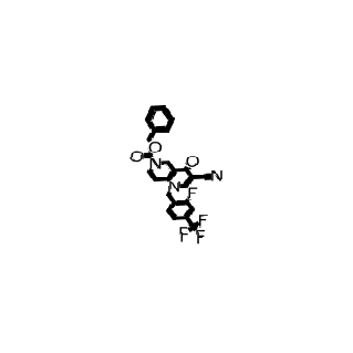 N#Cc1cn(Cc2ccc(C(F)(F)F)cc2F)c2c(c1=O)CN(C(=O)OCc1ccccc1)CC2